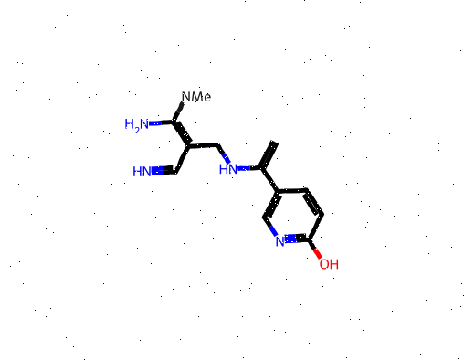 C=C(NC/C(C=N)=C(/N)NC)c1ccc(O)nc1